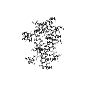 CN[C@@H](Cc1cnc[nH]1)C(=O)N[C@@H](Cc1ccc(O)cc1)C(=O)N[C@@H](CC(C)C)C(=O)N[C@@H](CC(N)=O)C(=O)N[C@@H](CC(C)C)C(=O)N[C@H](C(=O)N[C@H](C(=O)N[C@@H](CCCNC(=N)N)C(=O)N[C@@H](CCC(N)=O)C(=O)N[C@@H](CCCNC(=N)N)C(=O)N[C@@H](Cc1ccc(O)cc1)C(N)=O)[C@@H](C)O)C(C)C